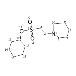 O=S(=O)(CCN1CCCCC1)OC1CCCCC1